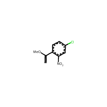 C=C(OC)c1ccc(Cl)cc1[N+](=O)[O-]